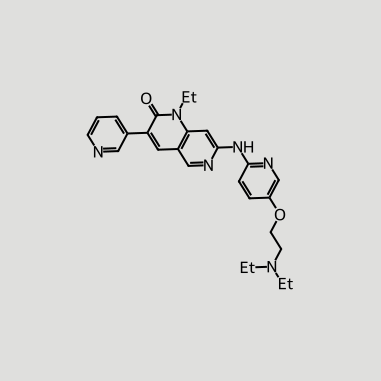 CCN(CC)CCOc1ccc(Nc2cc3c(cn2)cc(-c2cccnc2)c(=O)n3CC)nc1